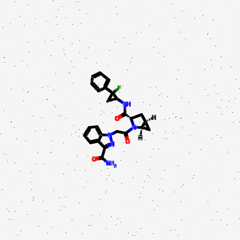 NC(=O)c1nn(CC(=O)N2[C@@H]3C[C@@H]3C[C@H]2C(=O)NC2CC2(F)c2ccccc2)c2ccccc12